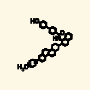 CN1CCN(c2ccc3c(ccc4c5c(ccc43)CC(c3ccc4ccccc4c3NC(=O)c3ccc(-c4ccc(O)cc4)cc3)CC5)c2)CC1